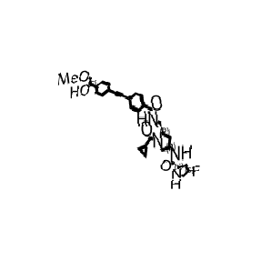 COC[C@@H](O)c1ccc(C#Cc2ccc(C(=O)NC[C@H]3C[C@@H](NC(=O)[C@@H]4C[C@H](F)CN4)CN3C(=O)C3CC3)cc2)cc1